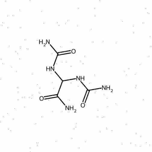 NC(=O)NC(NC(N)=O)C(N)=O